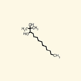 CCCCCCCCCCCC(O)C(C)(C)O